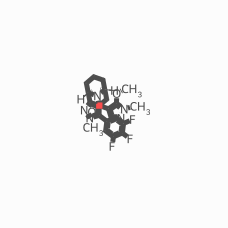 COc1c(C(=O)N2[C@H]3CCC[C@@H]2c2nn(C)c(-c4cc(F)c(F)c(F)c4)c2C3)cnn1C